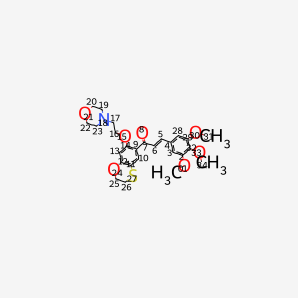 COc1cc(C=CC(=O)c2cc3c(cc2OCCN2CCOCC2)OCCS3)cc(OC)c1OC